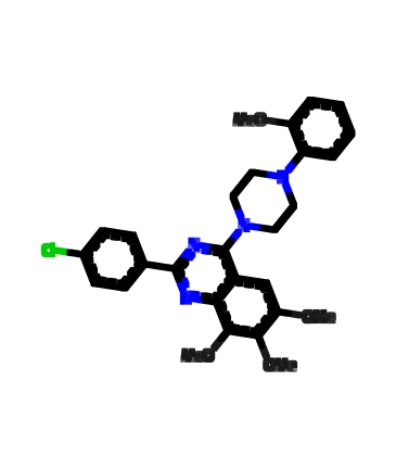 COc1ccccc1N1CCN(c2nc(-c3ccc(Cl)cc3)nc3c(OC)c(OC)c(OC)cc23)CC1